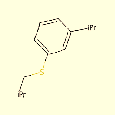 CC(C)CSc1cccc(C(C)C)c1